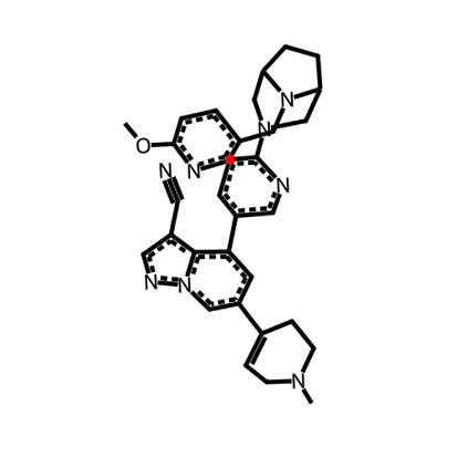 COc1ccc(CN2C3CCC2CN(c2ccc(-c4cc(C5=CCN(C)CC5)cn5ncc(C#N)c45)cn2)C3)cn1